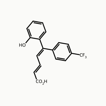 O=C(O)/C=C/C=C(\c1ccc(C(F)(F)F)cc1)c1ccccc1O